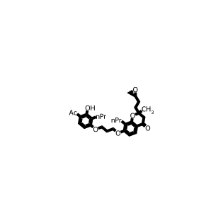 CCCc1c(OCCCOc2ccc3c(c2CCC)OC(C)(CCC2CO2)CC3=O)ccc(C(C)=O)c1O